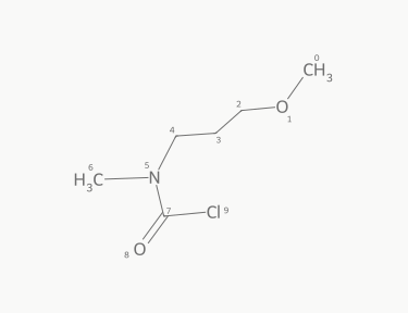 COCCCN(C)C(=O)Cl